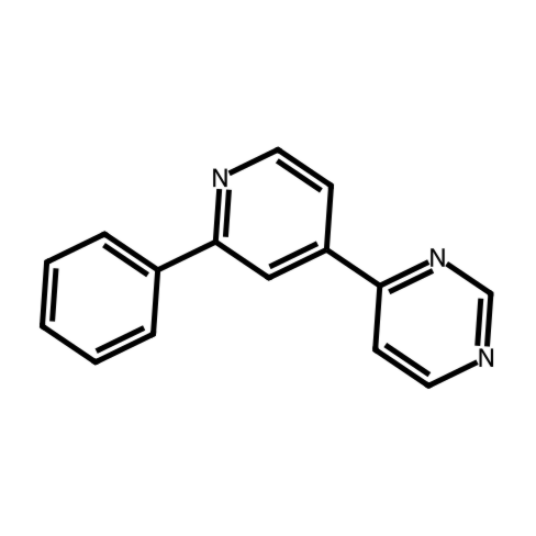 c1ccc(-c2cc(-c3ccncn3)ccn2)cc1